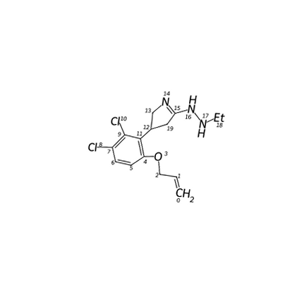 C=CCOc1ccc(Cl)c(Cl)c1C1CN=C(NNCC)C1